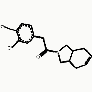 O=C(Cc1ccc(Cl)c(Cl)c1)N1CC2CC=CCC2C1